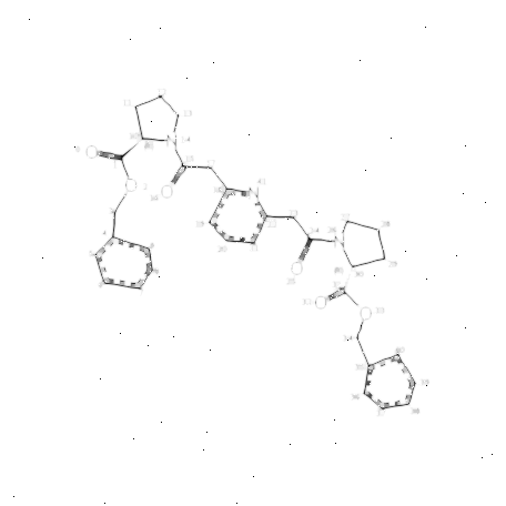 O=C(OCc1ccccc1)[C@H]1CCCN1C(=O)Cc1cccc(CC(=O)N2CCC[C@@H]2C(=O)OCc2ccccc2)n1